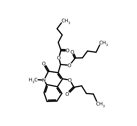 CCCCC(=O)Oc1c(C(OC(=O)CCCC)OC(=O)CCCC)c(=O)n(C)c2ccccc12